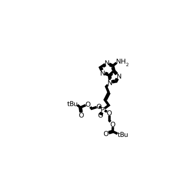 CC(C)(C)C(=O)OCOP(=O)(C/C=C/Cn1cnc2c(N)ncnc21)OCOC(=O)C(C)(C)C